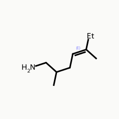 CC/C(C)=C/CC(C)CN